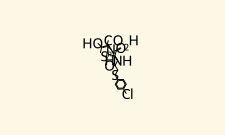 O=C(CSc1ccc(Cl)cc1)NC1C(=O)N2C(C(=O)O)=C(O)CS[C@H]12